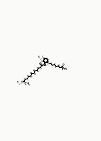 Cc1ccc(SCCCCCCC(=O)O)c(NC(=S)CCCCCCCCCCC(C)C)c1